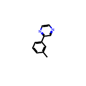 Cc1cccc(-c2cnc[c]n2)c1